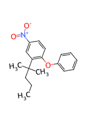 CCCC(C)(C)c1cc([N+](=O)[O-])ccc1Oc1ccccc1